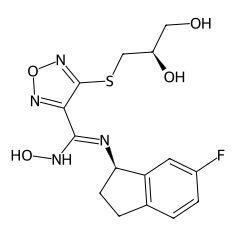 OC[C@@H](O)CSc1nonc1C(=N[C@@H]1CCc2ccc(F)cc21)NO